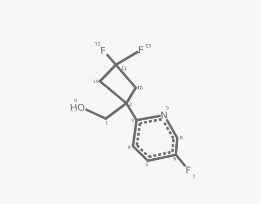 OCC1(c2ccc(F)cn2)CC(F)(F)C1